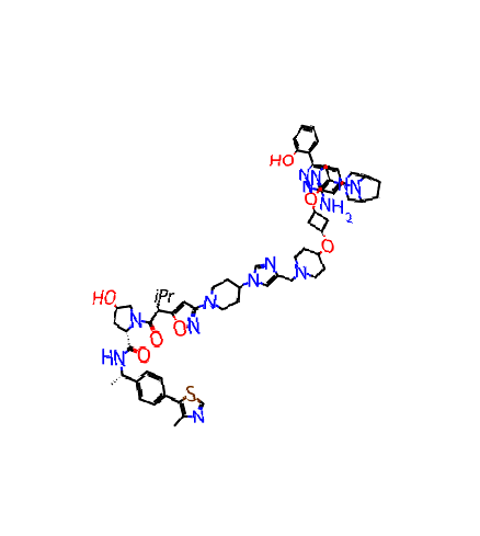 Cc1ncsc1-c1ccc([C@H](C)NC(=O)[C@@H]2C[C@@H](O)CN2C(=O)[C@H](c2cc(N3CCC(n4cnc(CN5CCC(O[C@H]6C[C@H](Oc7cc(N8C9CCC8CN(c8cc(-c%10ccccc%10O)nnc8N)C9)ccn7)C6)CC5)c4)CC3)no2)C(C)C)cc1